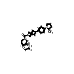 O=C1CO[C@H]2CCN(C(=O)N3CC4(CC(c5ccc(N6CCCC6C(F)(F)F)cc5)C4)C3)C[C@H]2N1